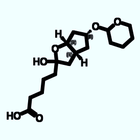 O=C(O)CCCCC1(O)C[C@H]2C[C@@H](OC3CCCCO3)C[C@H]2O1